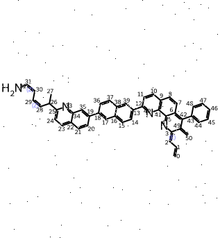 C=C/C=c1/nc2c(ccc3ccc(-c4ccc5cc(-c6ccc7ccc(C(C)/C=C\C=C/N)nc7c6)ccc5c4)nc32)c(-c2ccccc2)c1=C